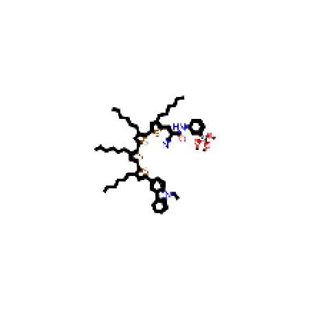 CCCCCCc1cc(-c2sc(-c3sc(-c4sc(-c5ccc6c(c5)c5ccccc5n6CC)cc4CCCCCC)cc3CCCCCC)cc2CCCCCC)sc1/C=C(\C#N)C(=O)Nc1cccc([Si](OC)(OC)OC)c1